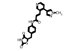 Cn1cc(-c2ccncc2/C=C/C(=O)Nc2ccc(CC3SC(=O)NC3=O)cc2)cn1